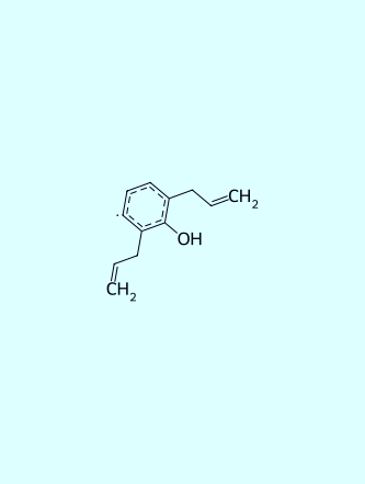 C=CCc1[c]ccc(CC=C)c1O